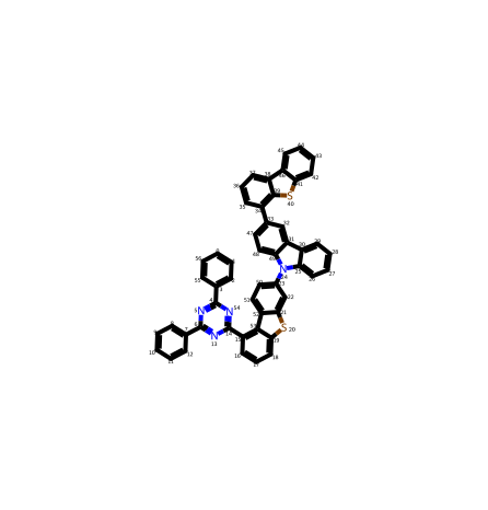 c1ccc(-c2nc(-c3ccccc3)nc(-c3cccc4sc5cc(-n6c7ccccc7c7cc(-c8cccc9c8sc8ccccc89)ccc76)ccc5c34)n2)cc1